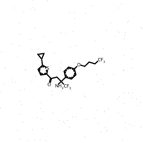 NC(CC(=O)c1ccc(C2CC2)s1)(c1ccc(OCCCC(F)(F)F)cc1)C(F)(F)F